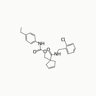 CCc1ccc(NC(=O)OCC2(C(=O)NCc3ccccc3Cl)CC=CC2)cc1